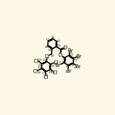 O=C(Oc1c(Br)c(Br)c(Br)c(Br)c1Br)c1ccccc1COc1c(Cl)c(Cl)c(Cl)c(Cl)c1Cl